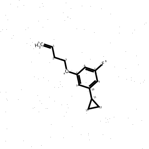 C=CCCOc1cc(F)cc(C2CC2)c1